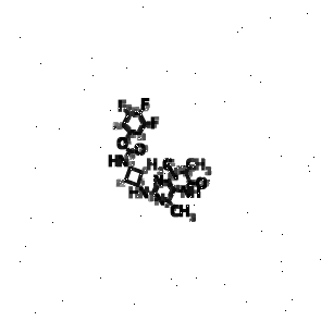 Cc1nc(N[C@H]2C[C@@H](NC(=O)Oc3cc(F)c(F)c(F)c3)C2)nc2c1NC(=O)[C@H](C)N2C